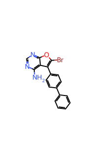 Nc1ncnc2oc(Br)c(-c3ccc(-c4ccccc4)cc3)c12